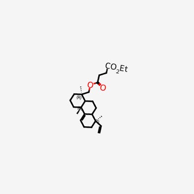 C=C[C@@]1(C)CCC=C2C1CCC1[C@](C)(COC(=O)CCC(=O)OCC)CCC[C@@]21C